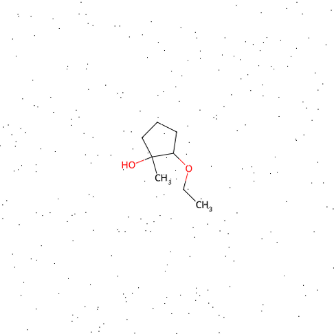 CCOC1CCCC1(C)O